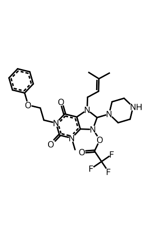 CC(C)=CCN1c2c(n(C)c(=O)n(CCOc3ccccc3)c2=O)N(OC(=O)C(F)(F)F)C1N1CCNCC1